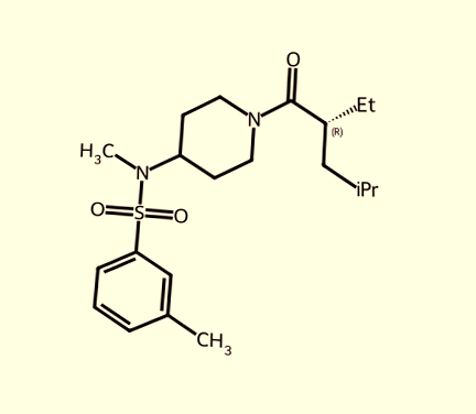 CC[C@H](CC(C)C)C(=O)N1CCC(N(C)S(=O)(=O)c2cccc(C)c2)CC1